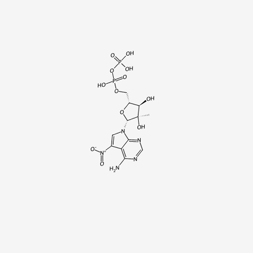 C[C@@]1(O)[C@H](O)[C@@H](COP(=O)(O)OP(=O)(O)O)O[C@H]1n1cc([N+](=O)[O-])c2c(N)ncnc21